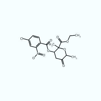 CCOC(=O)C1(C)OC(C)C(=O)CC1OC(=O)c1ccc(Cl)cc1[N+](=O)[O-]